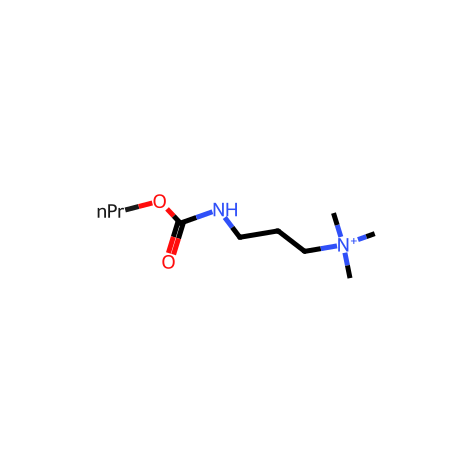 CCCOC(=O)NCCC[N+](C)(C)C